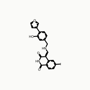 O=C1NC(=O)c2ccc(I)cc2/C1=C/NCc1ccc(-c2ccoc2)c(O)c1